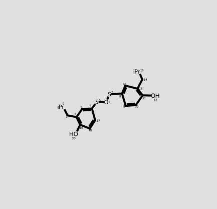 CC(C)Cc1cc(SOSc2ccc(O)c(CC(C)C)c2)ccc1O